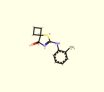 Cc1ccccc1NC1=NC(=O)C2(CCC2)S1